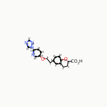 O=C(O)C1CCc2cc(CCOc3ccc(-n4cncn4)nc3)ccc2O1